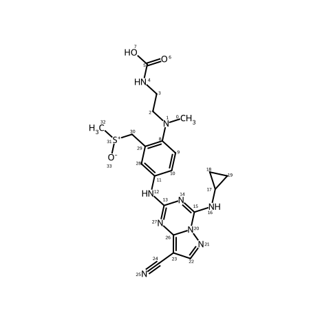 CN(CCNC(=O)O)c1ccc(Nc2nc(NC3CC3)n3ncc(C#N)c3n2)cc1C[S+](C)[O-]